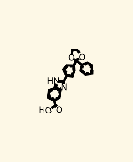 O=C(O)c1ccc2[nH]c(-c3ccc(C4(c5ccccc5)OCCO4)cc3)nc2c1